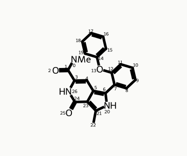 CNC(=O)c1cc2c(-c3ccccc3Oc3ccccc3)[nH]c(C)c2c(=O)[nH]1